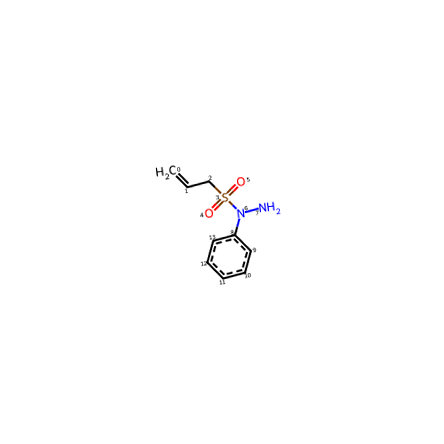 C=CCS(=O)(=O)N(N)c1ccccc1